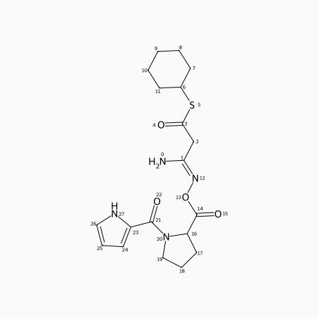 N/C(CC(=O)SC1CCCCC1)=N\OC(=O)C1CCCN1C(=O)c1ccc[nH]1